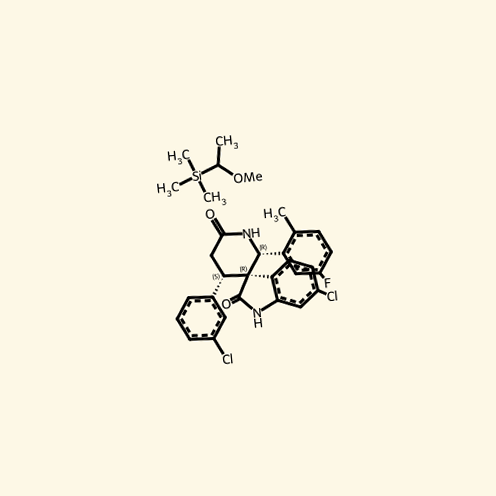 COC(C)[Si](C)(C)C.Cc1ccc(F)cc1[C@H]1NC(=O)C[C@@H](c2cccc(Cl)c2)[C@]12C(=O)Nc1cc(Cl)ccc12